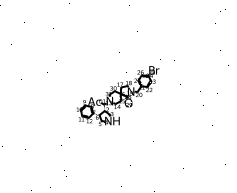 CC(=O)C([C@@H]1CNC[C@@H]1c1ccccc1)N1CCC2(CCN(Cc3ccc(Br)cc3)C2=O)CC1